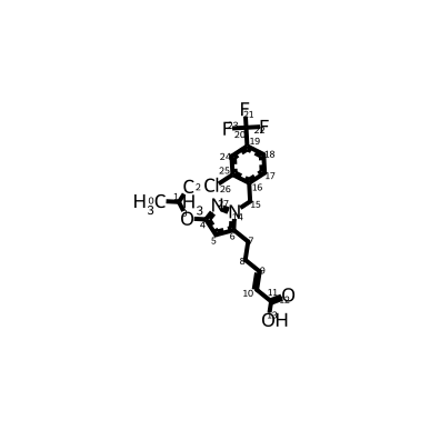 CC(C)Oc1cc(CC/C=C/C(=O)O)n(Cc2ccc(C(F)(F)F)cc2Cl)n1